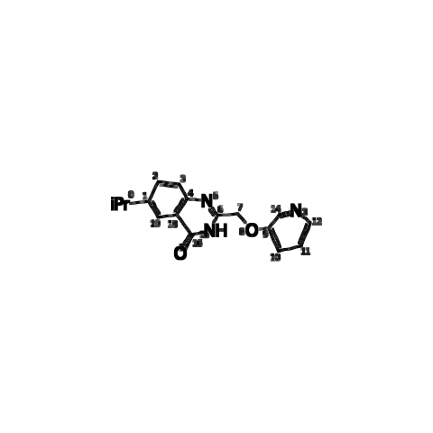 CC(C)c1ccc2nc(COc3cccnc3)[nH]c(=O)c2c1